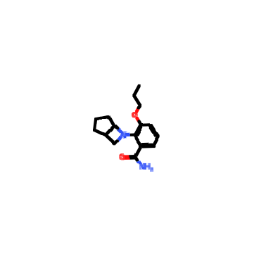 CCCOc1cccc(C(N)=O)c1N1CC2CCCC21